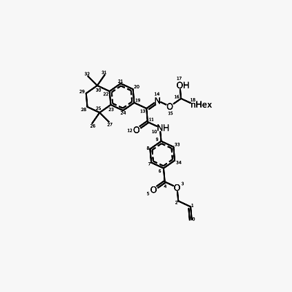 C=CCOC(=O)c1ccc(NC(=O)C(=NOC(O)CCCCCC)c2ccc3c(c2)C(C)(C)CCC3(C)C)cc1